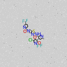 Cc1cc(-c2cc(Cl)cnc2OC(F)F)c(C(=O)Nc2nc3c(s2)CN(C(=O)c2ccc(C(F)F)cn2)C3)cn1